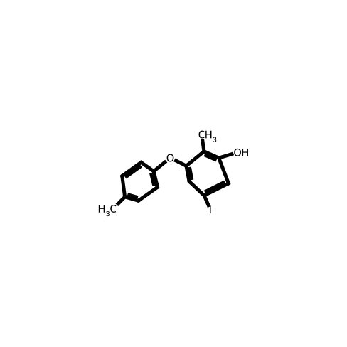 Cc1ccc(Oc2cc(I)cc(O)c2C)cc1